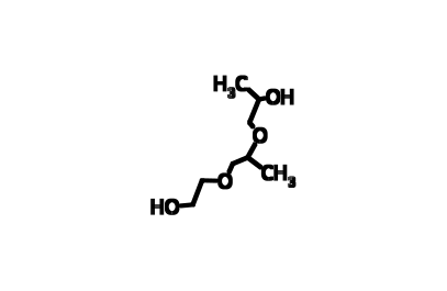 CC(O)COC(C)COCCO